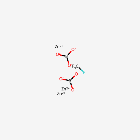 FC(F)(F)F.[O-]B([O-])[O-].[O-]B([O-])[O-].[Zn+2].[Zn+2].[Zn+2]